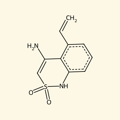 C=Cc1cccc2c1C(N)=CS(=O)(=O)N2